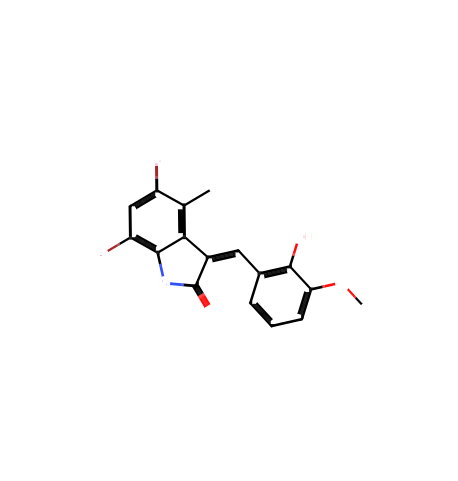 COc1cccc(C=C2C(=O)Nc3c(Br)cc(Br)c(C)c32)c1O